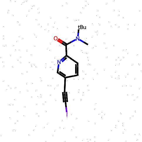 CN(C(=O)c1ccc(C#CI)cn1)C(C)(C)C